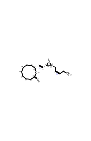 CC/C=C\C[C@@H]1O[C@H]1/C=C/[C@H]1CCCCCCCC(=O)O1